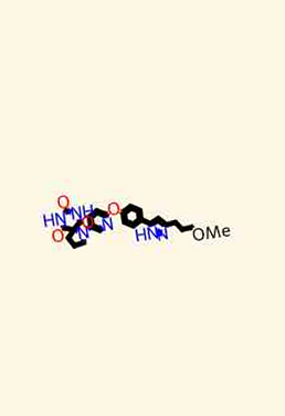 COCCCc1cc(-c2ccc(Oc3ccc(N4CCCC45C(=O)NC(=O)NC5=O)cn3)cc2)[nH]n1